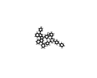 c1ccc(-c2ccc(-c3nc(-c4ccccc4)nc(-c4cccc5oc6cc(-n7c8cc(-c9ccccc9)c9ccccc9c8c8c9ccccc9c(-c9ccccc9)cc87)ccc6c45)n3)cc2)cc1